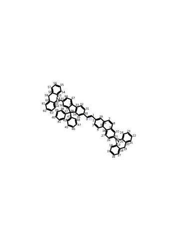 C(=C\c1ccc2c(ccc3cc(N4c5ccccc5Cc5ccccc54)ccc32)c1)/c1ccc2c(c1)C(c1ccccc1)(c1ccccc1)c1cc(N3c4ccccc4Cc4ccccc43)ccc1-2